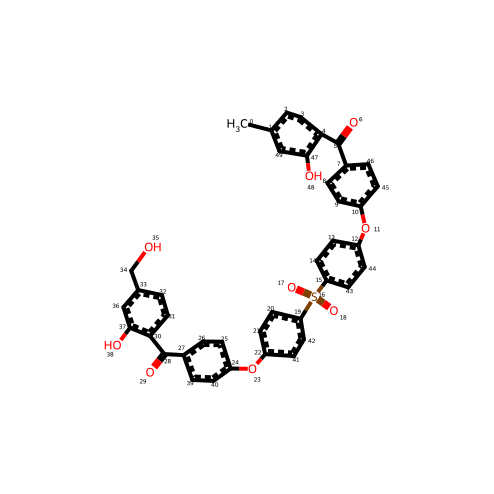 Cc1ccc(C(=O)c2ccc(Oc3ccc(S(=O)(=O)c4ccc(Oc5ccc(C(=O)c6ccc(CO)cc6O)cc5)cc4)cc3)cc2)c(O)c1